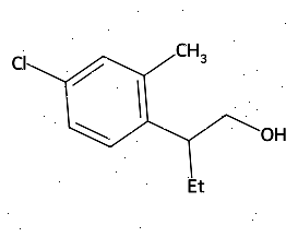 CCC(CO)c1ccc(Cl)cc1C